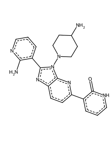 Nc1ncccc1-c1nc2ccc(-c3ccc[nH]c3=O)nc2n1N1CCC(N)CC1